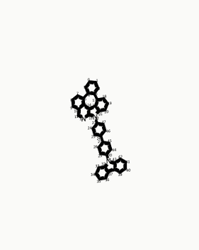 c1ccc2c(c1)-c1cccc3cnc4c(c13)c1c-2cccc1n4-c1ccc(-c2ccc(-n3c4ccccc4c4ccccc43)cc2)cc1